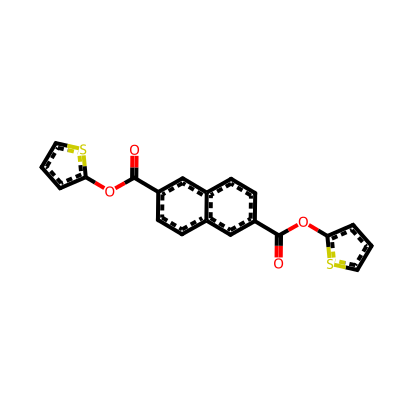 O=C(Oc1cccs1)c1ccc2cc(C(=O)Oc3cccs3)ccc2c1